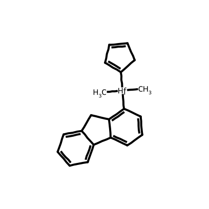 [CH3][Hf]([CH3])([C]1=CC=CC1)[c]1cccc2c1Cc1ccccc1-2